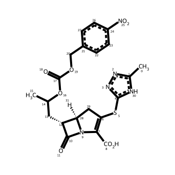 Cc1nnc(SC2=C(C(=O)O)N3C(=O)[C@H](CC(C)OC(=O)OCc4ccc([N+](=O)[O-])cc4)[C@H]3C2)[nH]1